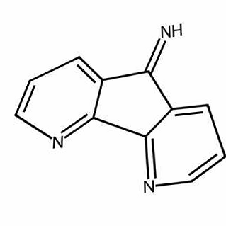 N=C1c2cccnc2-c2ncccc21